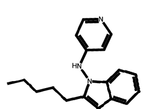 CCCCCc1cc2ccccc2n1Nc1ccncc1